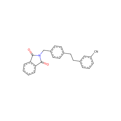 N#Cc1cccc(CCc2ccc(CN3C(=O)c4ccccc4C3=O)cc2)c1